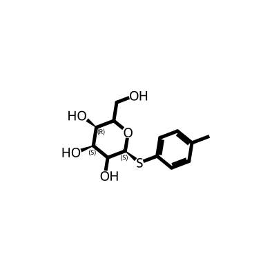 Cc1ccc(S[C@@H]2OC(CO)[C@H](O)[C@H](O)C2O)cc1